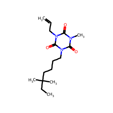 C=CCn1c(=O)n(C)c(=O)n(CCCCC(C)(C)CC)c1=O